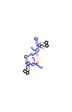 Cc1cccc2cccc(C3Cc4nc(OC[C@@H]5CCCN5CCN(C)C/C=C/C(=O)N5CCN(c6nc(OC[C@@H]7CCCN7C)nc7c6COC(c6cccc8cccc(Cl)c68)C7)C[C@@H]5CC#N)nc(N5CCN(C(=O)/C=C/CN(C)C)[C@@H](CC#N)C5)c4CO3)c12